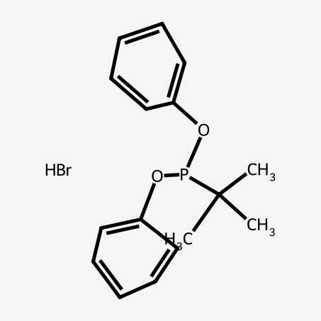 Br.CC(C)(C)P(Oc1ccccc1)Oc1ccccc1